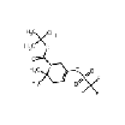 CC(C)(C)OC(=O)N1CC(OS(=O)(=O)C(F)(F)F)=CCC1(C)C